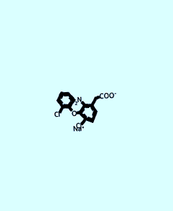 Nc1c(CC(=O)[O-])ccc(Cl)c1Oc1ccccc1Cl.[Na+]